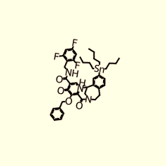 CCC[CH2][Sn]([CH2]CCC)([CH2]CCC)[c]1ccc2c(c1)[C@H]1CN(CC2)C(=O)c2c(OCc3ccccc3)c(=O)c(C(=O)NCc3c(F)cc(F)cc3F)cn21